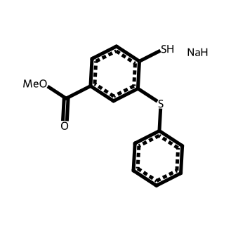 COC(=O)c1ccc(S)c(Sc2ccccc2)c1.[NaH]